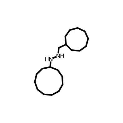 C1CCCCCC(NNCC2CCCCCCCC2)CCCC1